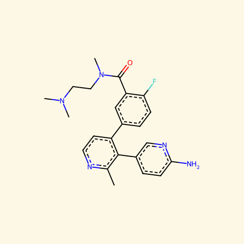 Cc1nccc(-c2ccc(F)c(C(=O)N(C)CCN(C)C)c2)c1-c1ccc(N)nc1